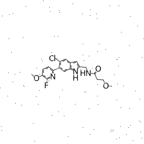 COCCC(=O)NCc1cc2cc(Cl)c(-c3ccc(OC)c(F)n3)cc2[nH]1